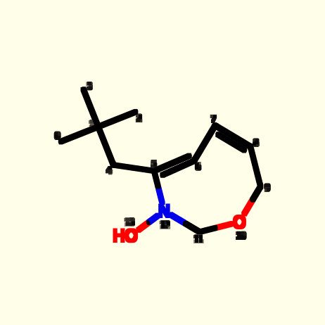 CC(C)(C)C/C1=C\C=C/COCN1O